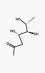 CC(=O)C[C@H](O)[C@H](O)[C@@H](C)O